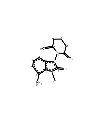 Cn1c(=O)n(N2C(=O)CCCC2=O)c2cccc(N)c21